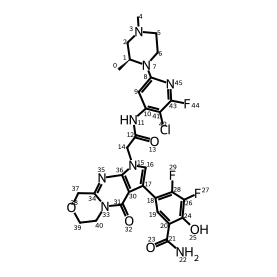 C[C@H]1CN(C)CCN1c1cc(NC(=O)Cn2cc(-c3cc(C(N)=O)c(O)c(F)c3F)c3c(=O)n4c(nc32)COCC4)c(Cl)c(F)n1